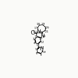 O=c1c2ccc(-c3ccccn3)cc2nc2n1CCCCC2